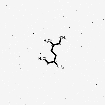 [CH2]C([CH]CC(C)CC)CC